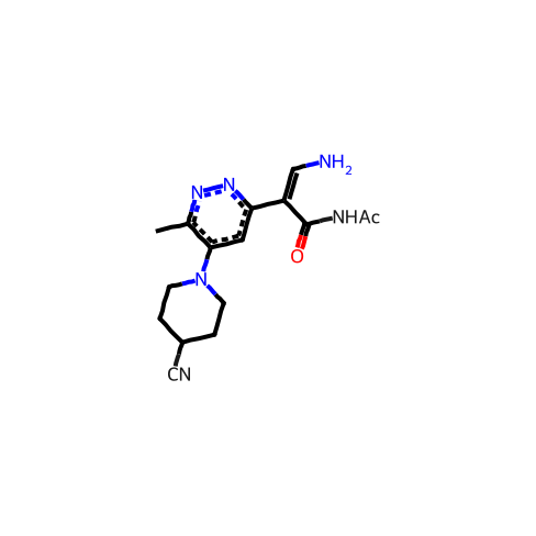 CC(=O)NC(=O)/C(=C\N)c1cc(N2CCC(C#N)CC2)c(C)nn1